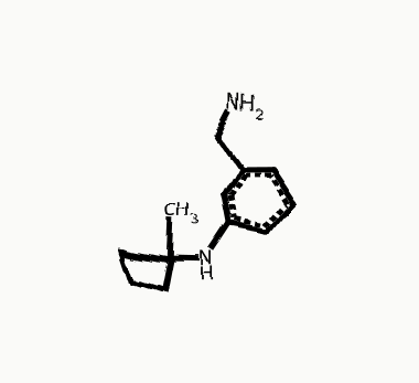 CC1(Nc2cccc(CN)c2)CCC1